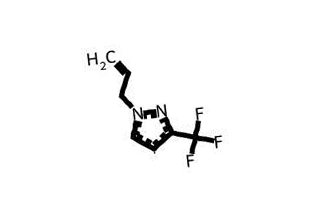 C=CCn1c[c]c(C(F)(F)F)n1